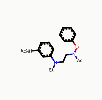 CCN(CCN(Oc1ccccc1)C(C)=O)c1cccc(NC(C)=O)c1